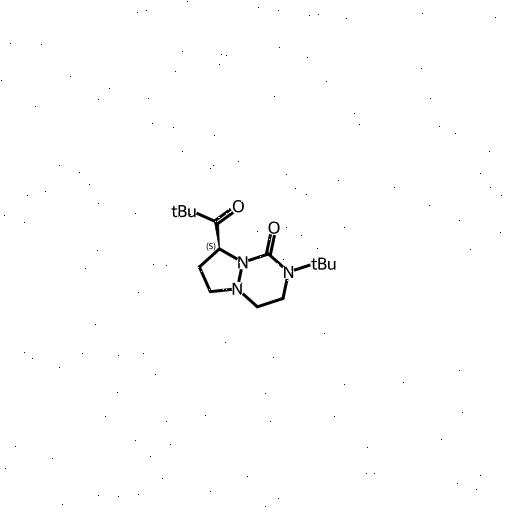 CC(C)(C)C(=O)[C@@H]1CCN2CCN(C(C)(C)C)C(=O)N12